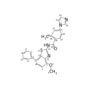 COc1ccc(-c2ccccc2)c2sc(NC(=O)c3ccc(-n4ccnc4)cc3C)nc12